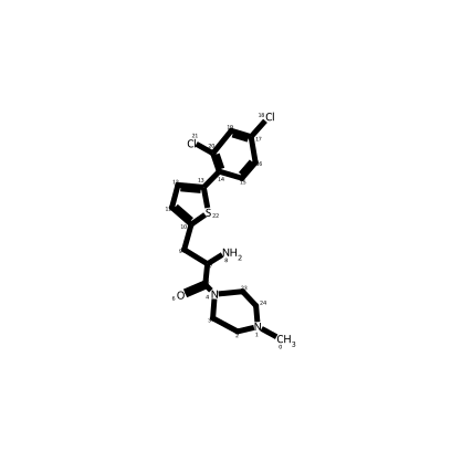 CN1CCN(C(=O)C(N)Cc2ccc(-c3ccc(Cl)cc3Cl)s2)CC1